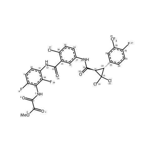 COC(=O)C(=O)Nc1c(F)ccc(NC(=O)c2cc(NC(=O)[C@H]3[C@H](c4ccc(F)c(C(F)(F)F)c4)C3(Cl)Cl)ccc2Cl)c1F